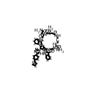 NC(=O)C[C@@H]1NC(=O)[C@@H](N)CC(=O)NCCCC[C@@H](C(N)=O)NC(=O)[C@H](Cc2c[nH]c3ccccc23)NC(=O)[C@@H]2C[C@H](n3cc(-c4ccc(-c5cccs5)cc4)nn3)CN2C(=O)[C@H](C2CCCCC2)NC1=O